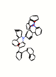 c1ccc(-c2cc(N(c3ccc(-c4ccccc4-c4cccc5ccccc45)cc3)c3ccccc3-c3ccccc3)ccc2-c2ccccc2-n2c3ccccc3c3ccccc32)cc1